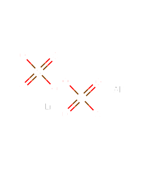 O=S(=O)([O-])[O-].O=S(=O)([O-])[O-].[Al+3].[Li+]